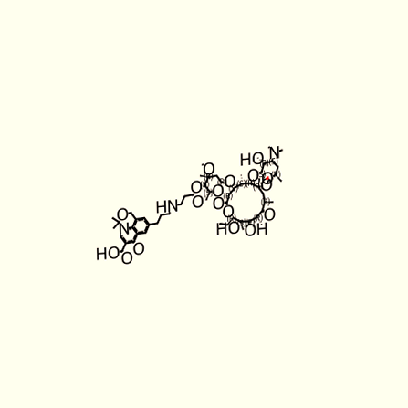 CC[C@H]1OC(=O)[C@H](C)[C@@H](O[C@H]2C[C@@](C)(OC)[C@@H](OC(=O)CCNCCCc3cc4c5c(c3)c(=O)c(C(=O)O)cn5C(C)(C)OC4)[C@H](C)O2)[C@H](C)[C@@H](O[C@@H]2O[C@H](C)C[C@H](N(C)C)[C@H]2O)[C@](C)(OC)C[C@@H](C)C(=O)[C@H](C)[C@@H](O)[C@]1(C)O